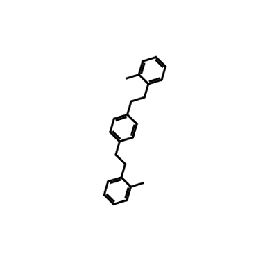 Cc1ccccc1CCc1ccc(CCc2ccccc2C)cc1